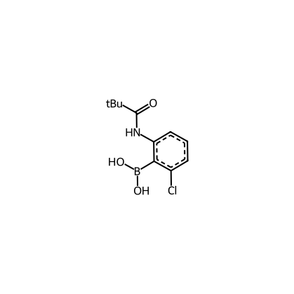 CC(C)(C)C(=O)Nc1cccc(Cl)c1B(O)O